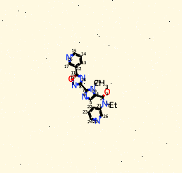 CCN(C(=O)c1cnc(-c2noc(-c3cccnc3)n2)n1C)c1cccnc1